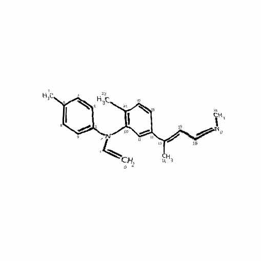 C=CN(c1ccc(C)cc1)c1cc(/C(C)=C/C=N\C)ccc1C